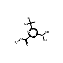 [2H]C([2H])([2H])c1cc(B(O)O)cc(C(=O)OC)n1